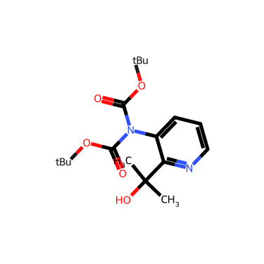 CC(C)(C)OC(=O)N(C(=O)OC(C)(C)C)c1cccnc1C(C)(C)O